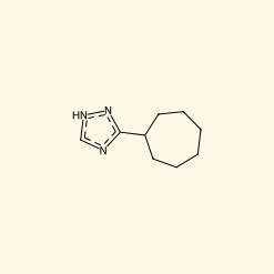 c1nc(C2CCCCCC2)n[nH]1